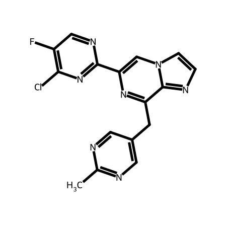 Cc1ncc(Cc2nc(-c3ncc(F)c(Cl)n3)cn3ccnc23)cn1